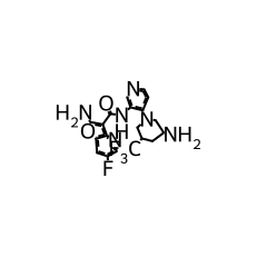 Nc1oc2cc(F)cnc2c1C(=O)Nc1cnccc1N1CC(N)CC(C(F)(F)F)C1